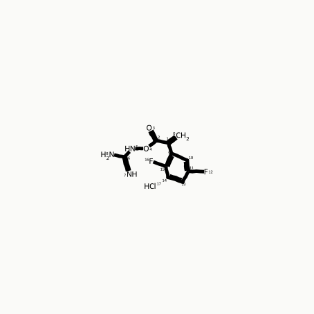 C=C(C(=O)ONC(=N)N)c1cc(F)ccc1F.Cl